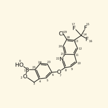 OB1OCc2cc(Oc3ccc4cc(C(F)(F)F)c(Cl)cc4n3)ccc21